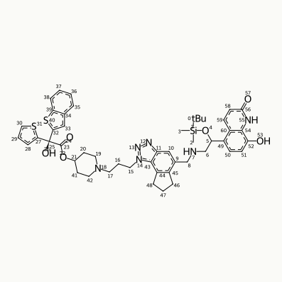 CC(C)(C)[Si](C)(C)OC(CNCc1cc2nnn(CCCN3CCC(OC(=O)[C@](O)(c4cccs4)c4cc5ccccc5s4)CC3)c2c2c1CCC2)c1ccc(O)c2[nH]c(=O)ccc12